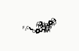 CC(C)CN(C(C(O)CCc1ccc(OCCCC(F)(F)F)cc1)N(C(=O)O)[C@H]1CO[C@H]2OCC[C@H]21)S(=O)(=O)c1ccc2c(c1)OCCO2